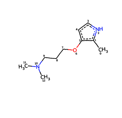 Cc1[nH]ccc1OCCCN(C)C